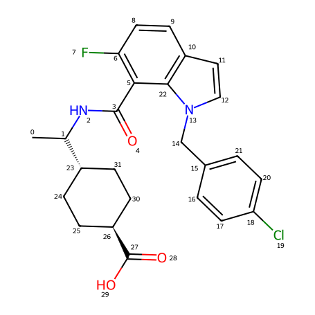 CC(NC(=O)c1c(F)ccc2ccn(Cc3ccc(Cl)cc3)c12)[C@H]1CC[C@H](C(=O)O)CC1